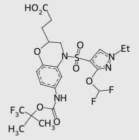 CCn1cc(S(=O)(=O)N2CC(CCC(=O)O)Oc3ccc(NC(=O)OC(C)(C)C(F)(F)F)cc32)c(OC(F)F)n1